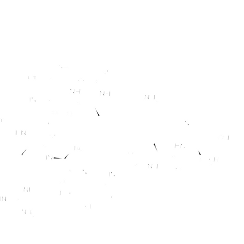 CC[C@H](C)[C@H](NC(=O)[C@@H](CCCNC(=N)N)NC(=O)[C@H](CC(C)C)NC(=O)[C@@H](NC(=O)[C@H](Cc1cccc(N)c1)NC(=O)OCc1ccccc1)C(O)C(C)C)C(=O)N[C@H](C(=O)NCC(=O)N[C@@H](Cc1cccnc1)C(=O)N[C@@H](CO)C(=O)O)[C@H](C)O